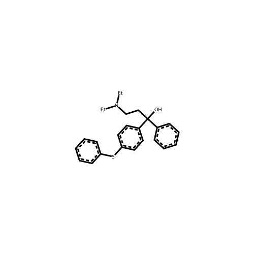 CCN(CC)CCC(O)(c1ccccc1)c1ccc(Sc2ccccc2)cc1